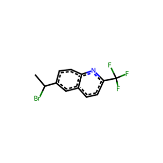 CC(Br)c1ccc2nc(C(F)(F)F)ccc2c1